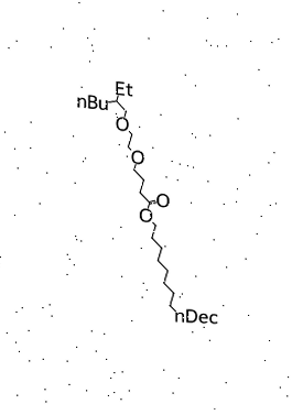 CCCCCCCCCCCCCCCCCCOC(=O)CCCOCCOCC(CC)CCCC